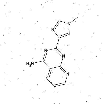 Cn1cnc(-c2nc(N)c3nccnc3n2)c1